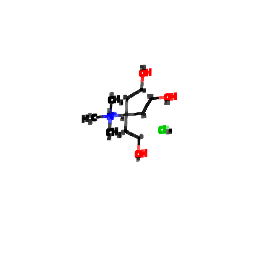 C[N+](C)(C)C(CCO)(CCO)CCO.[Cl-]